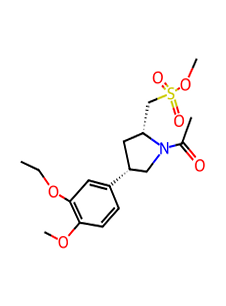 CCOc1cc([C@@H]2C[C@H](CS(=O)(=O)OC)N(C(C)=O)C2)ccc1OC